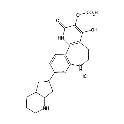 Cl.O=C(O)Oc1c(O)c2c([nH]c1=O)-c1ccc(N3CC4CCCNC4C3)cc1NCC2